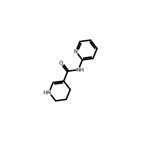 O=C(Nc1ccccn1)C1=CNCCC1